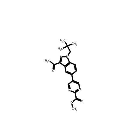 COC(=O)c1ncc(-c2ccc3c(c2)c(C(C)=O)nn3CC(C)(C)C)cn1